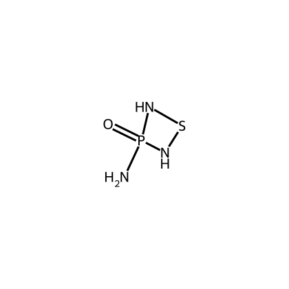 NP1(=O)NSN1